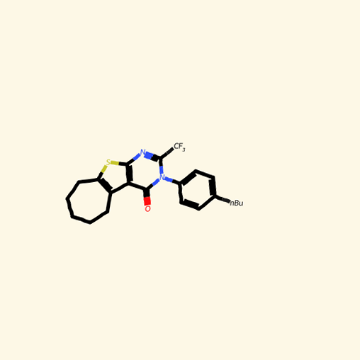 CCCCc1ccc(-n2c(C(F)(F)F)nc3sc4c(c3c2=O)CCCCC4)cc1